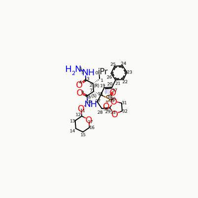 CC(C)C[C@@H](C(=O)NN)[C@@H](C(=O)NOC1CCCCO1)C(/C=C/c1ccccc1)(CCC1OCCO1)S(C)(=O)=O